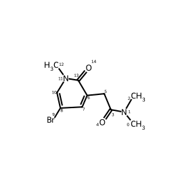 CN(C)C(=O)Cc1cc(Br)cn(C)c1=O